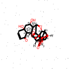 C[C@@]12C[C@H]3OC(=O)[C@H]1CO[C@]14O[C@@]5([C@@H]2C1=O)[C@@]3(C)OC(=O)[C@@]5(O)CC[C@H]1[C@H]4[C@H](O)C[C@@]2(O)CC=CC(=O)[C@]12C